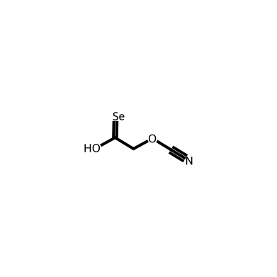 N#COCC(O)=[Se]